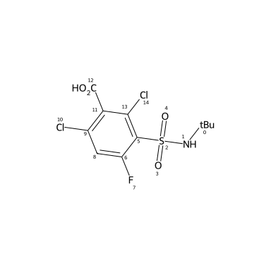 CC(C)(C)NS(=O)(=O)c1c(F)cc(Cl)c(C(=O)O)c1Cl